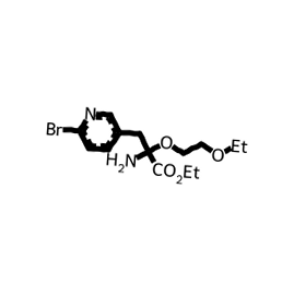 CCOCCOC(N)(Cc1ccc(Br)nc1)C(=O)OCC